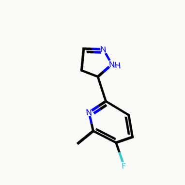 Cc1nc(C2CC=NN2)ccc1F